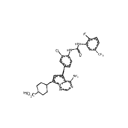 Nc1ncnn2c(C3CCN(C(=O)O)CC3)cc(-c3ccc(NC(=O)Nc4cc(C(F)(F)F)ccc4F)c(Cl)c3)c12